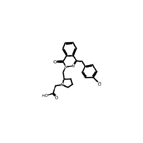 O=C(O)CN1CCCC1Cn1nc(Cc2ccc(Cl)cc2)c2ccccc2c1=O